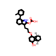 Cc1ccccc1-c1cccc2c(CCCOc3ccc(O)c4c3[C@H]3CC[C@@H]4C3)c(OC(=O)O)[nH]c12